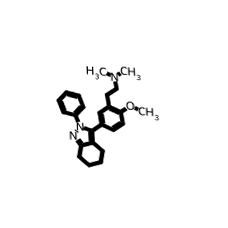 COc1ccc(-c2c3c(nn2-c2ccccc2)CCCC3)cc1CCN(C)C